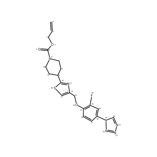 C=CCOC(=O)N1CCC(c2nc(COc3ccc(-n4cnnn4)cc3F)cs2)CC1